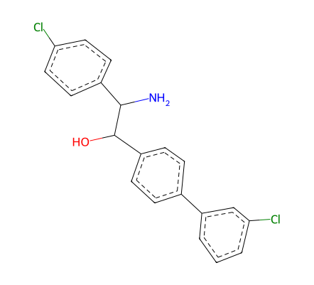 NC(c1ccc(Cl)cc1)C(O)c1ccc(-c2cccc(Cl)c2)cc1